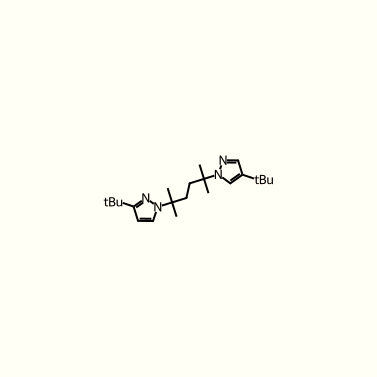 CC(C)(C)c1cnn(C(C)(C)CCC(C)(C)n2ccc(C(C)(C)C)n2)c1